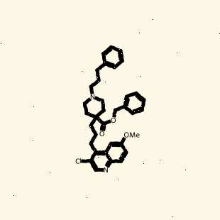 COc1ccc2ncc(Cl)c(CCCC3(C(=O)OCc4ccccc4)CCN(CCCc4ccccc4)CC3)c2c1